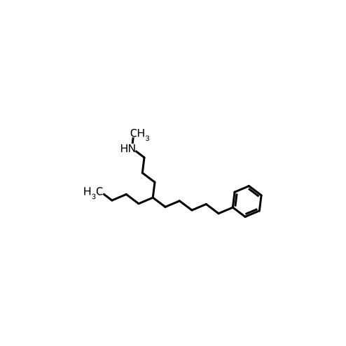 CCCCC(CCCCCc1ccccc1)CCCNC